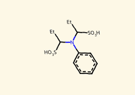 CCC(N(c1ccccc1)C(CC)S(=O)(=O)O)S(=O)(=O)O